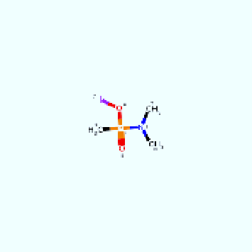 CN(C)P(C)(=O)OI